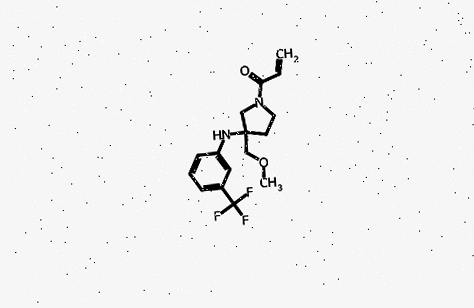 C=CC(=O)N1CCC(COC)(Nc2cccc(C(F)(F)F)c2)C1